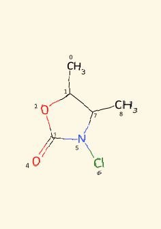 CC1OC(=O)N(Cl)C1C